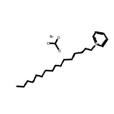 CCCCCCCCCCCCCCCC[n+]1ccccc1.ClC(Cl)Cl.[Br-]